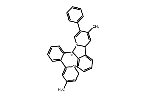 CC1=CCNC(c2ccccc2[C@@H]2c3ccccc3C3C=C(C)C(c4ccccc4)=CN32)=C1